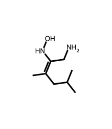 CC(CC(C)C)=C(CN)NO